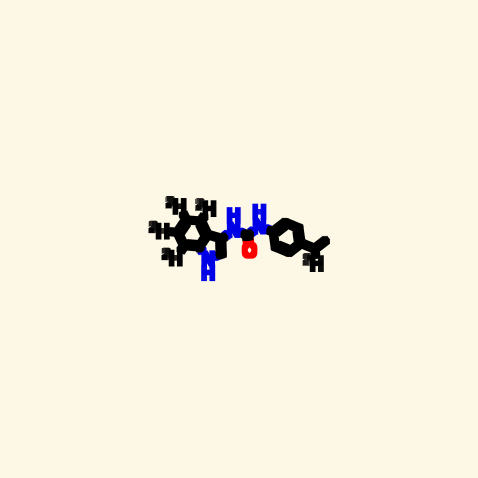 [2H]c1c([2H])c([2H])c2c(NC(=O)Nc3ccc(C([2H])C)cc3)c[nH]c2c1[2H]